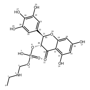 CCNCOP(=O)(O)O[C@H]1C(=O)c2c(O)cc(O)cc2O[C@@H]1c1cc(O)c(O)c(O)c1